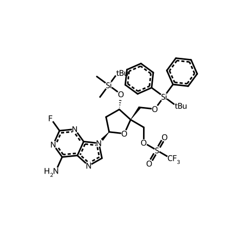 CC(C)(C)[Si](C)(C)O[C@H]1C[C@H](n2cnc3c(N)nc(F)nc32)O[C@@]1(CO[Si](c1ccccc1)(c1ccccc1)C(C)(C)C)COS(=O)(=O)C(F)(F)F